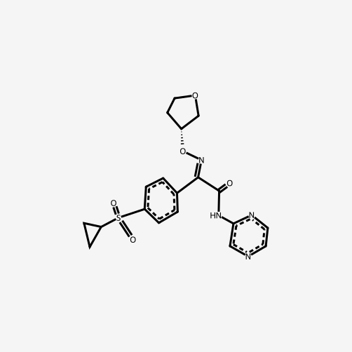 O=C(Nc1cnccn1)/C(=N/O[C@@H]1CCOC1)c1ccc(S(=O)(=O)C2CC2)cc1